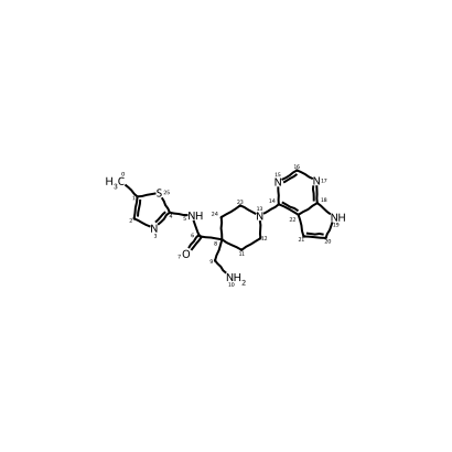 Cc1cnc(NC(=O)C2(CN)CCN(c3ncnc4[nH]ccc34)CC2)s1